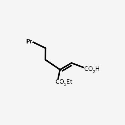 CCOC(=O)/C(=C\C(=O)O)CCC(C)C